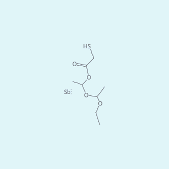 CCOC(C)OC(C)OC(=O)CS.[Sb]